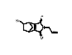 C=CCN1C(=O)C2=C(C1=O)C1CC2CC1CCCC